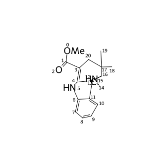 COC(=O)C1=C2Nc3ccccc3C23CCNC3C(C)(C)C1